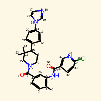 Cc1ccc(C(=O)N2CCC(c3ccc(-n4ccnc4)cc3)C(C)(C)C2)cc1NC(=O)c1ccc(Cl)nc1